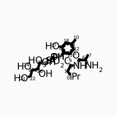 CC(C)CC(NC(=O)C(C)N)C(=O)O.Cc1ccc(C(C)C)c(O)c1.O=S(=O)(O)O.OCC(O)C(O)CO